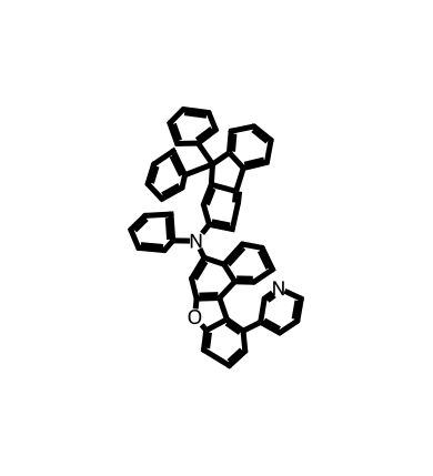 c1ccc(N(c2ccc3c(c2)C(c2ccccc2)(c2ccccc2)c2ccccc2-3)c2cc3oc4cccc(-c5cccnc5)c4c3c3ccccc23)cc1